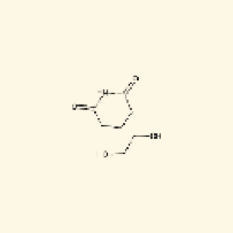 O=C1CCCC(=O)N1.OCCO